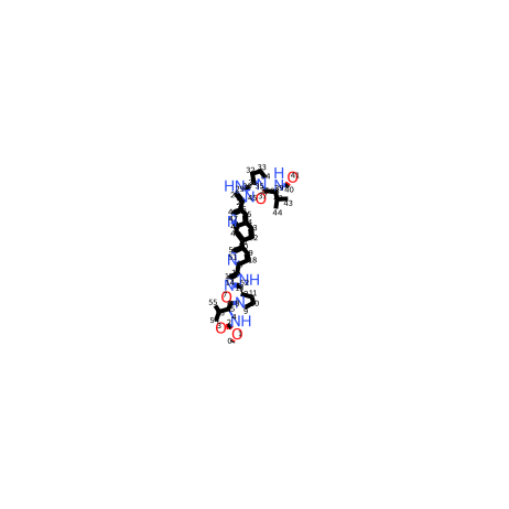 COC(=O)N[C@H](C(=O)N1CCC[C@H]1c1ncc(-c2ccc(-c3ccc4cc(-c5c[nH]c([C@@H]6CCCN6C(=O)[C@@H](NC=O)C(C)C)n5)cnc4c3)cn2)[nH]1)C(C)C